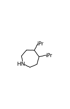 CC(C)C1CCNCCC1C(C)C